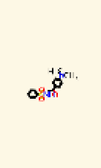 CN(C)c1ccc(C(=O)CNS(=O)(=O)c2ccccc2)cc1